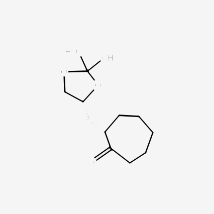 CC1(C)OC[C@@H](C[C@@H]2CCCCCC2=O)O1